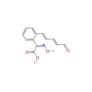 CON=C(C(=O)OC)c1ccccc1/C=C/C=C/C=O